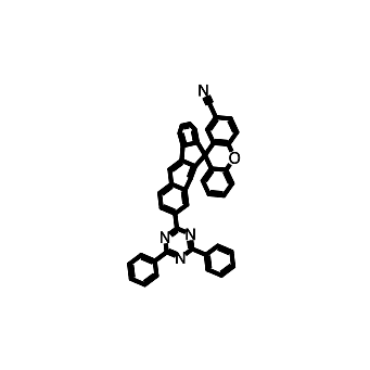 N#Cc1ccc2c(c1)C1(c3ccccc3O2)c2ccccc2-c2cc3ccc(-c4nc(-c5ccccc5)nc(-c5ccccc5)n4)cc3cc21